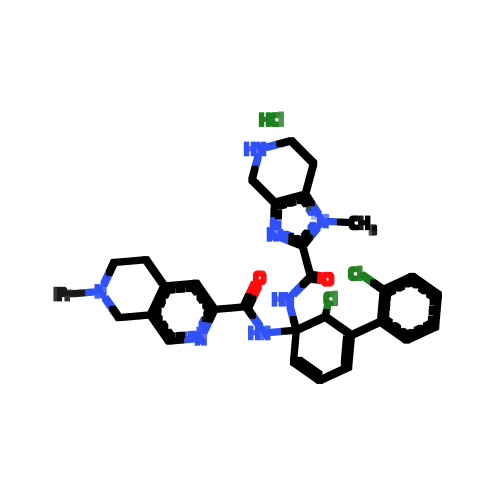 CC(C)N1CCc2cc(C(=O)NC3(NC(=O)c4nc5c(n4C)CCNC5)C=CC=C(c4ccccc4Cl)C3Cl)ncc2C1.Cl